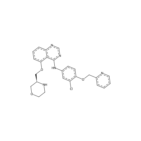 Clc1cc(Nc2ncnc3cccc(OC[C@@H]4COCCN4)c23)ccc1OCc1ccccn1